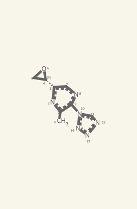 Cc1nc([C@@H]2CO2)cnc1-n1cnnn1